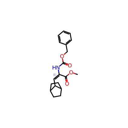 COC(=O)/C(=C\C1C2CCC1CC2)NC(=O)OCc1ccccc1